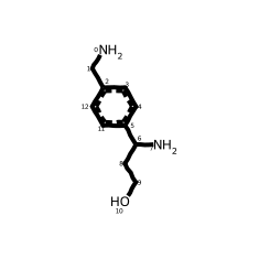 NCc1ccc(C(N)CCO)cc1